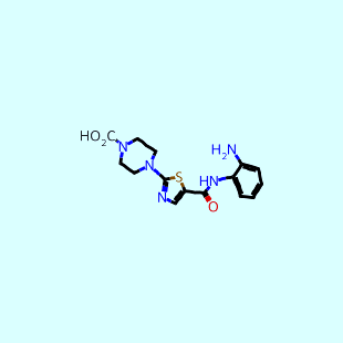 Nc1ccccc1NC(=O)c1cnc(N2CCN(C(=O)O)CC2)s1